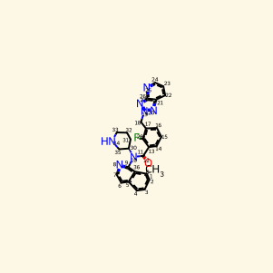 Cc1cccc2ccnc(N(C(=O)c3cccc(Cn4nc5cccnc5n4)c3F)[C@@H]3CCCNC3)c12